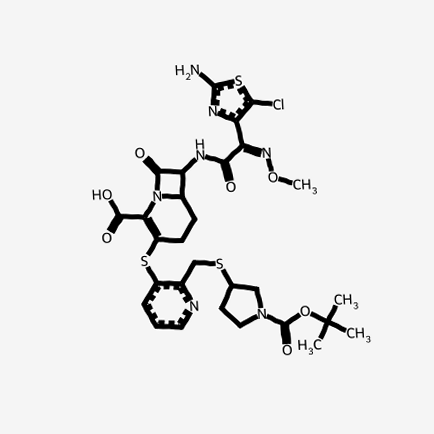 CO/N=C(\C(=O)NC1C(=O)N2C(C(=O)O)=C(Sc3cccnc3CSC3CCN(C(=O)OC(C)(C)C)C3)CCC12)c1nc(N)sc1Cl